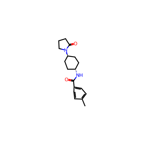 Cc1ccc(C(=O)N[C@H]2CC[C@H](N3CCCC3=O)CC2)cc1